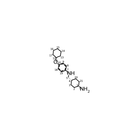 N[C@H]1CC[C@H](CNc2ccc(OC3CCCCC3)cc2)CC1